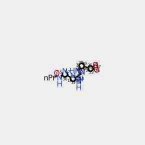 CCCC(=O)Nc1cncc(-c2ccc3[nH]nc(-c4nc5c(-c6ccc7c(c6)OCO7)cccc5[nH]4)c3n2)c1